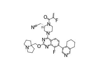 C=C(F)C(=O)N1CCN(c2nc(OCC34CCCN3CCC4)nc3c(F)c(-c4cncc5c4CCCC5)ccc23)C[C@@H]1CC#N